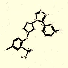 COC(=O)c1cc(I)ccc1OC1CCC(n2cnnc2-c2cccc(N)n2)C1